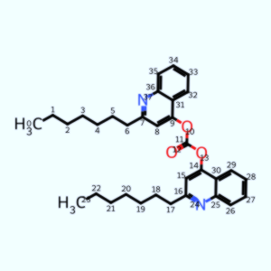 CCCCCCCc1cc(OC(=O)Oc2cc(CCCCCCC)nc3ccccc23)c2ccccc2n1